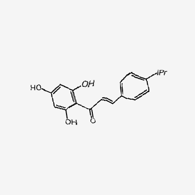 CC(C)c1ccc(/C=C/C(=O)c2c(O)cc(O)cc2O)cc1